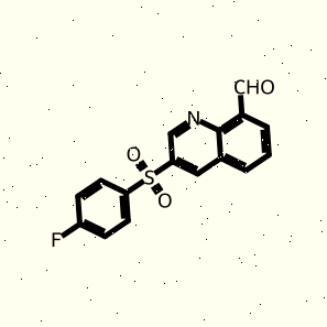 O=Cc1cccc2cc(S(=O)(=O)c3ccc(F)cc3)cnc12